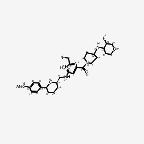 C=C(/C=C(\N=C(/N)CF)C(=O)N1CCC(NC2CCOCC2F)CC1)NC[C@H]1CCC[C@@H](c2ccc(SC)cc2)O1